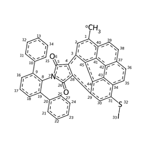 Cc1cc2c3c(=O)n(-c4c(-c5ccccc5)cccc4-c4ccccc4)c(=O)c3c3cc(SI)c4ccc5ccc1c1c5c4c3c21